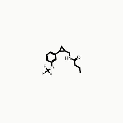 CCCC(=O)NCC1CC1c1cccc(OC(F)(F)F)c1